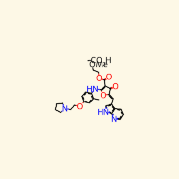 CC(=O)O.COCCOC(=O)C1=C(Nc2ccc(OCCN3CCCC3)cc2C)OC(=Cc2c[nH]c3ncccc23)C1=O